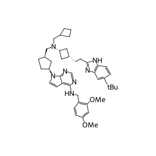 COc1ccc(CNc2ncnc3c2ccn3[C@H]2CC[C@@H](CN(CC3CCC3)[C@H]3C[C@@H](CCc4nc5cc(C(C)(C)C)ccc5[nH]4)C3)C2)c(OC)c1